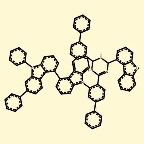 C1=c2c(n(-c3cc(-c4ccccc4)ccc3C3=NC(c4cccc5oc6ccccc6c45)NC(c4cccc(-c5ccccc5)c4)N3)c3cccc(-c4cccc5c4c4ccc(-c6ccccc6)cc4n5-c4ccccc4)c23)=CCC1